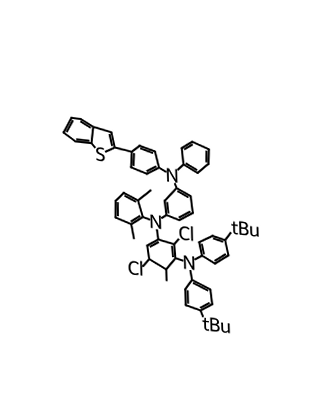 Cc1cccc(C)c1N(C1=CC(Cl)C(C)C(N(c2ccc(C(C)(C)C)cc2)c2ccc(C(C)(C)C)cc2)=C1Cl)c1cccc(N(c2ccccc2)c2ccc(-c3cc4ccccc4s3)cc2)c1